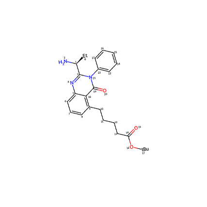 CC[C@H](N)c1nc2cccc(CCCCC(=O)OC(C)(C)C)c2c(=O)n1-c1ccccc1